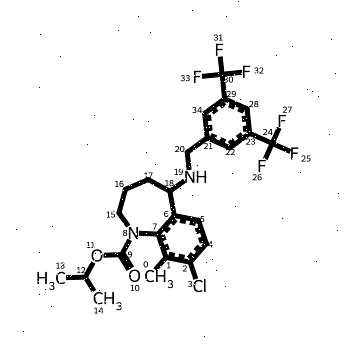 Cc1c(Cl)ccc2c1N(C(=O)OC(C)C)CCCC2NCc1cc(C(F)(F)F)cc(C(F)(F)F)c1